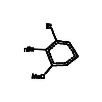 [CH2]CCCc1c(CC)cccc1OC